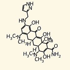 CN(C)c1cc(NCc2cc[nH]n2)c(O)c2c1C[C@@H]1C[C@@H]3[C@H](N(C)C)C(O)=C(C(N)=O)C(=O)[C@@]3(C)C(O)=C1C2=O